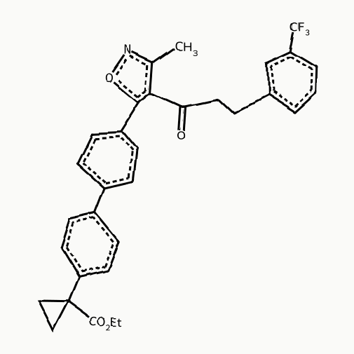 CCOC(=O)C1(c2ccc(-c3ccc(-c4onc(C)c4C(=O)CCc4cccc(C(F)(F)F)c4)cc3)cc2)CC1